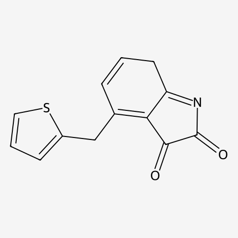 O=C1N=C2CC=CC(Cc3cccs3)=C2C1=O